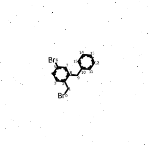 BrCc1ccc(Br)cc1Cc1ccccc1